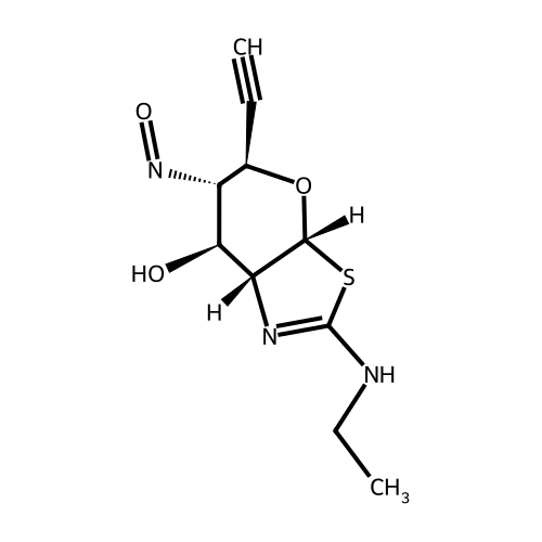 C#C[C@H]1O[C@@H]2SC(NCC)=N[C@@H]2[C@@H](O)[C@@H]1N=O